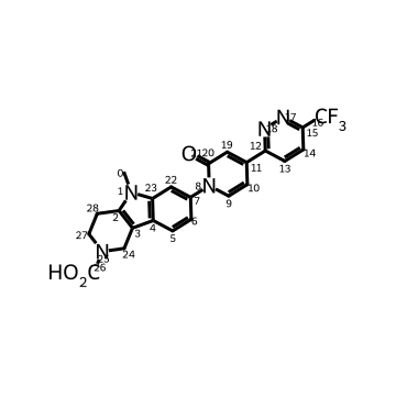 Cn1c2c(c3ccc(-n4ccc(-c5ccc(C(F)(F)F)nn5)cc4=O)cc31)CN(C(=O)O)CC2